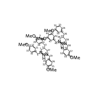 COc1ccc(CC2CN(Cc3ccc(OC)cc3)NN(Cc3ccc(OC)cc3)C2)cc1.COc1cccc(CC2CN(Cc3cccc(OC)c3)NN(Cc3cccc(OC)c3)C2)c1